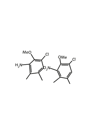 COc1c(Cl)cc(C)c(C)c1N.COc1c(Cl)cc(C)c(C)c1[N+](=O)[O-]